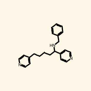 [CH](CCc1ccncc1)CC(NCc1ccccc1)c1ccncc1